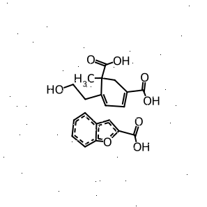 CC1(C(=O)O)CC(C(=O)O)=CC=C1CCO.O=C(O)c1cc2ccccc2o1